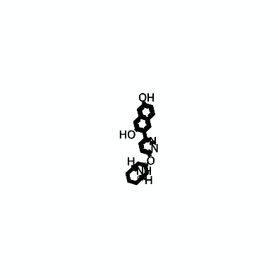 Oc1ccc2cc(-c3ccc(O[C@@H]4C[C@H]5CCC[C@@H](C4)N5)nn3)c(O)cc2c1